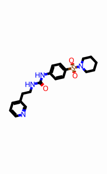 O=C(NCCc1cccnc1)Nc1ccc(S(=O)(=O)N2CCCCC2)cc1